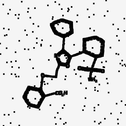 NS(=O)(=O)c1ccccc1-c1oc(COc2ccccc2C(=O)O)nc1-c1ccccc1